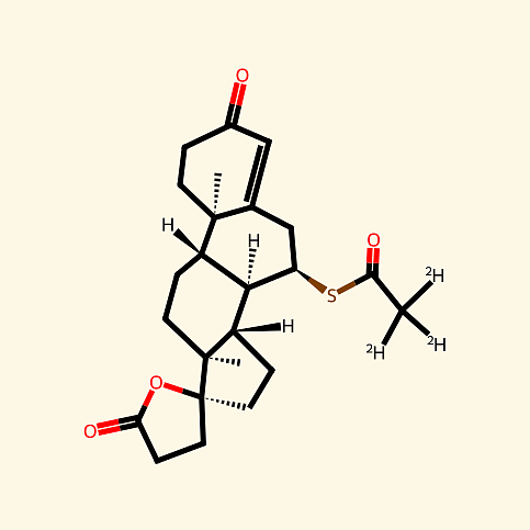 [2H]C([2H])([2H])C(=O)S[C@@H]1CC2=CC(=O)CC[C@]2(C)[C@H]2CC[C@@]3(C)[C@@H](CC[C@@]34CCC(=O)O4)[C@H]12